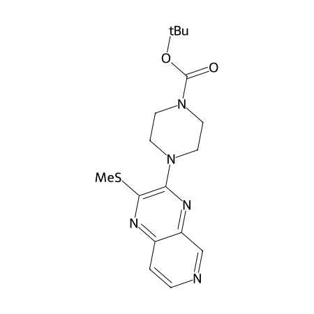 CSc1nc2ccncc2nc1N1CCN(C(=O)OC(C)(C)C)CC1